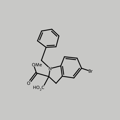 COC(=O)C1(C(=O)O)Cc2cc(Br)ccc2N1Cc1ccccc1